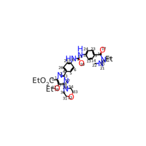 CCOC(=O)c1nc(-c2ccc(NC(=O)Nc3ccc(C(=O)N(CC)N(C)C)cc3)cc2)nc(N2CCOCC2)c1OCC